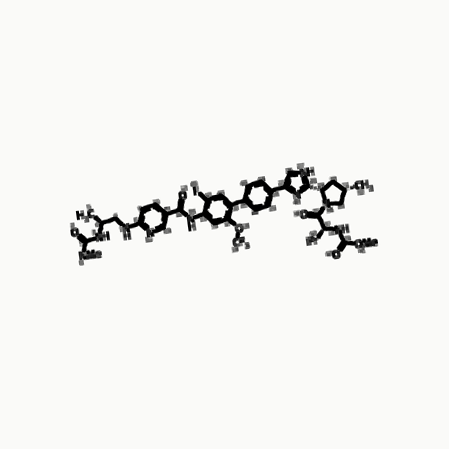 CNC(=O)N[C@@H](C)CNc1ccc(C(=O)Nc2cc(OC(F)(F)F)c(-c3ccc(-c4c[nH]c([C@@H]5C[C@H](C)CN5C(=O)[C@@H](NC(=O)OC)C(C)C)n4)cc3)cc2F)cn1